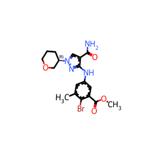 COC(=O)c1cc(Nc2nn([C@@H]3CCCOC3)cc2C(N)=O)cc(C)c1Br